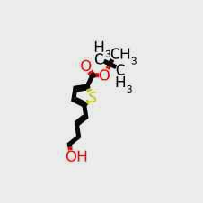 CC(C)(C)OC(=O)c1ccc(C=CCCO)s1